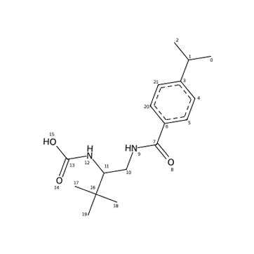 CC(C)c1ccc(C(=O)NCC(NC(=O)O)C(C)(C)C)cc1